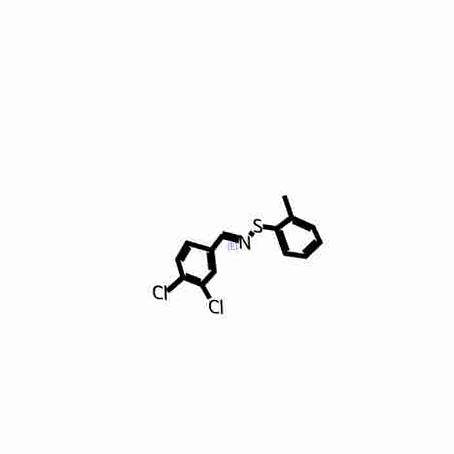 Cc1ccccc1S/N=C/c1ccc(Cl)c(Cl)c1